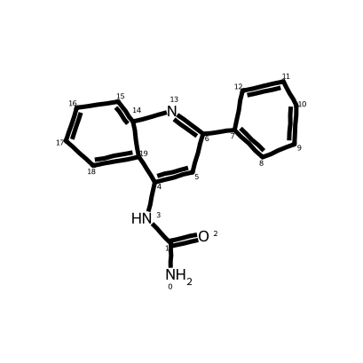 NC(=O)Nc1cc(-c2ccccc2)nc2ccccc12